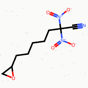 N#CC(CCCCCC1CO1)([N+](=O)[O-])[N+](=O)[O-]